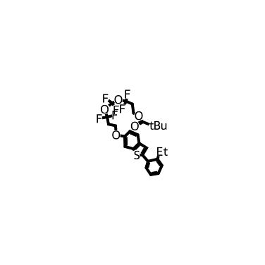 CCc1ccccc1-c1cc2ccc(OCCC(F)(F)OC(F)(F)OC(F)(F)CCOC(=O)C(C)(C)C)cc2s1